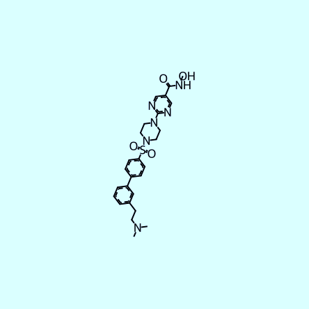 CN(C)CCc1cccc(-c2ccc(S(=O)(=O)N3CCN(c4ncc(C(=O)NO)cn4)CC3)cc2)c1